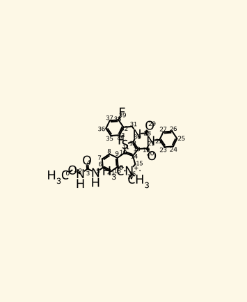 CONC(=O)Nc1ccc(-c2sc3c(c2C[N+](C)C)c(=O)n(-c2ccccc2)c(=O)n3Cc2c(F)cccc2F)cc1